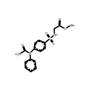 CC(C)(C)OC(=O)CNS(=O)(=O)c1ccc(N(C(N)=O)c2ccccc2)cc1